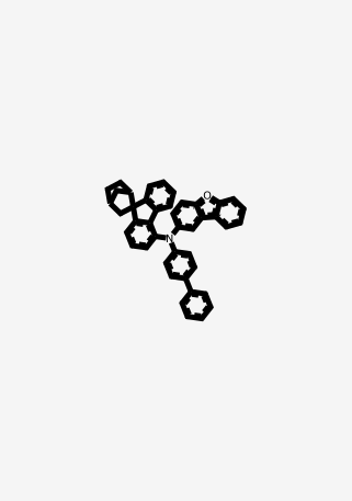 c1ccc(-c2ccc(N(c3ccc4oc5ccccc5c4c3)c3cccc4c3-c3ccccc3C43CC4CCC3C4)cc2)cc1